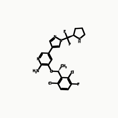 C[C@@H](Oc1cc(-c2cnn(C(F)(F)[C@H]3CCCN3)c2)cnc1N)c1c(Cl)ccc(F)c1Cl